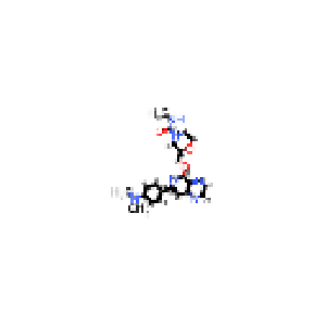 CNC(=O)N1CCOC(COc2nc(-c3ccc(N(C)C)cc3)cc3nccnc23)C1